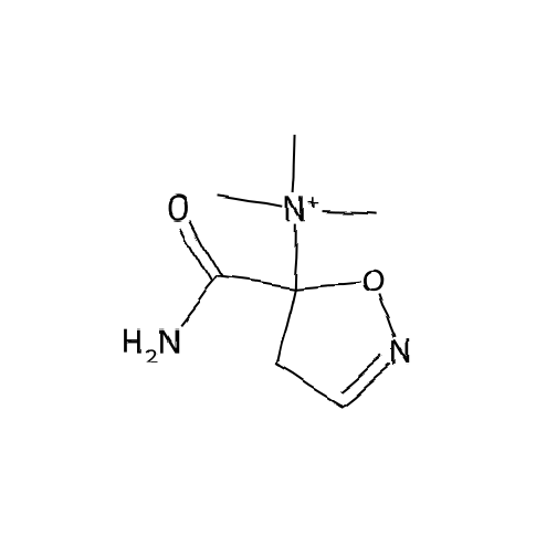 C[N+](C)(C)C1(C(N)=O)CC=NO1